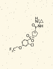 NC1(NC(=O)[C@H]2CC[C@H](S(=O)(=O)c3ccc(OCC(F)(F)F)cc3Cl)C2)CC1